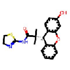 CC(C)(C(=O)NC1=NCCS1)[C@H]1c2ccccc2Oc2cc(O)ccc21